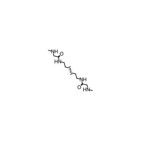 CNCC(=O)NCCSSCCNC(=O)CNC